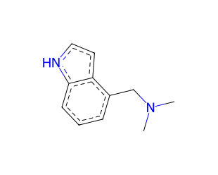 CN(C)Cc1cccc2[nH]ccc12